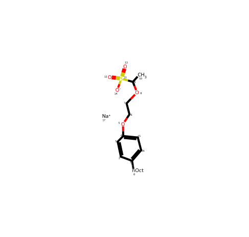 CCCCCCCCc1ccc(OCCOC(C)S(=O)(=O)[O-])cc1.[Na+]